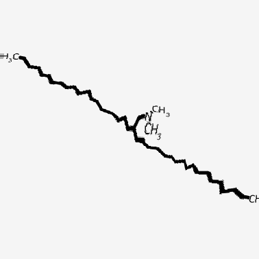 CCCCCCCCCCCCCCCCCCCC(CCCCCCCCCCCCCCCCCC)CN(C)C